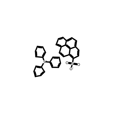 O=S(=O)([O-])c1ccc2ccc3cccc4ccc1c2c34.c1ccc([S+](c2ccccc2)c2ccccc2)cc1